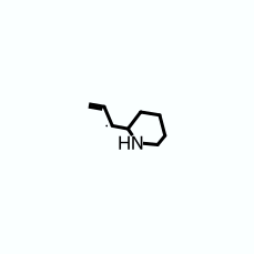 C=C[CH]C1CCCCN1